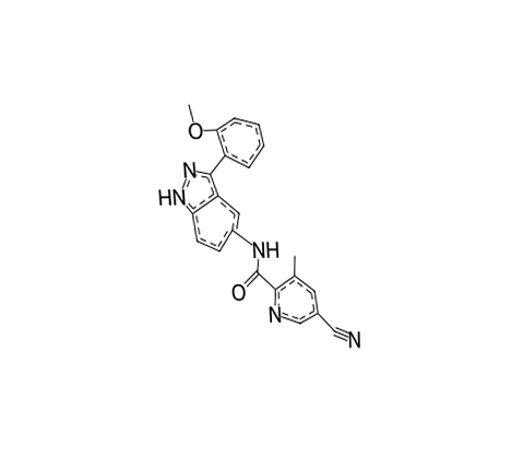 COc1ccccc1-c1n[nH]c2ccc(NC(=O)c3ncc(C#N)cc3C)cc12